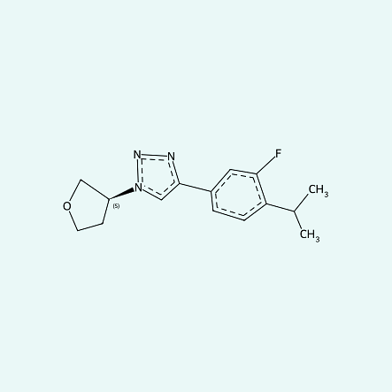 CC(C)c1ccc(-c2cn([C@H]3CCOC3)nn2)cc1F